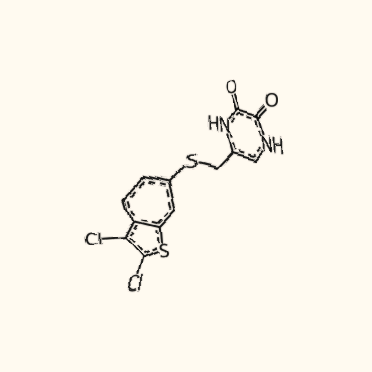 O=c1[nH]cc(CSc2ccc3c(Cl)c(Cl)sc3c2)[nH]c1=O